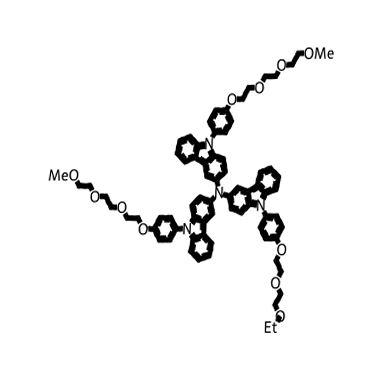 CCOCCOCCOc1ccc(-n2c3ccccc3c3cc(N(c4ccc5c(c4)c4ccccc4n5-c4ccc(OCCOCCOCCOC)cc4)c4ccc5c(c4)c4ccccc4n5-c4ccc(OCCOCCOCCOC)cc4)ccc32)cc1